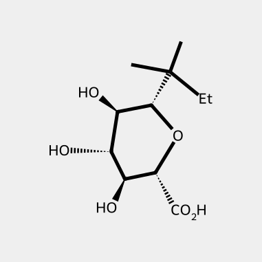 CCC(C)(C)[C@@H]1O[C@H](C(=O)O)[C@@H](O)[C@H](O)[C@H]1O